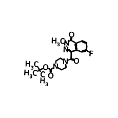 Cn1nc(C(=O)N2CCN(C(=O)OC(C)(C)C)CC2)c2cc(F)ccc2c1=O